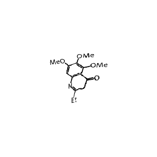 CCC1=Nc2cc(OC)c(OC)c(OC)c2C(=O)C1